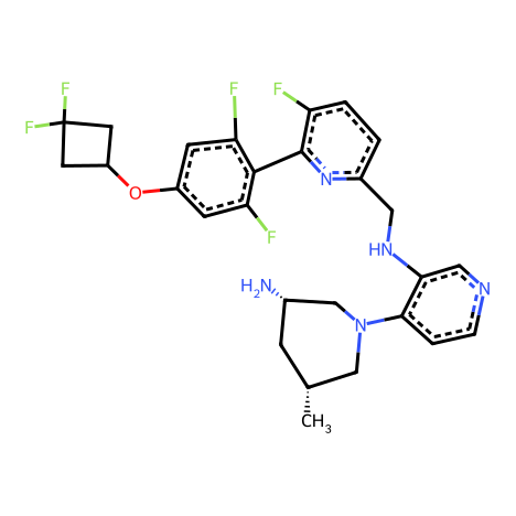 C[C@@H]1C[C@H](N)CN(c2ccncc2NCc2ccc(F)c(-c3c(F)cc(OC4CC(F)(F)C4)cc3F)n2)C1